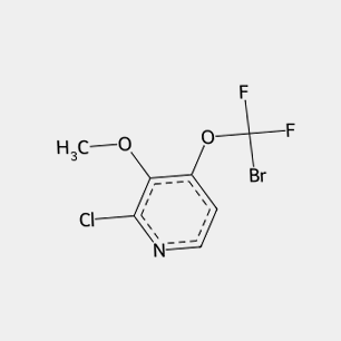 COc1c(OC(F)(F)Br)ccnc1Cl